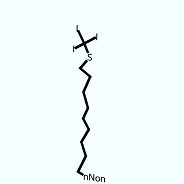 CCCCCCCCCCCCCCCCCCSC(I)(I)I